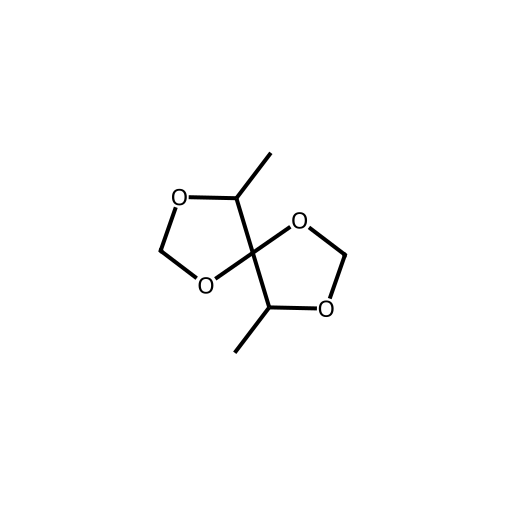 CC1OCOC12OCOC2C